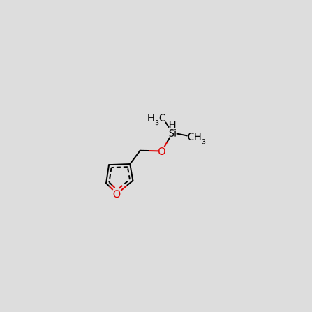 C[SiH](C)OCc1ccoc1